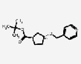 CC(C)(C)OC(=O)N1CC[C@@H](OCc2ccncc2)C1